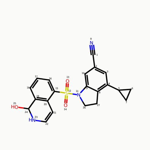 N#Cc1cc(C2CC2)c2c(c1)N(S(=O)(=O)c1cccc3c1C=CNC3O)CC2